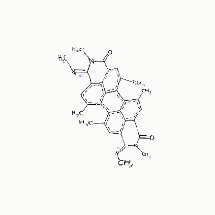 C/N=C1/c2cc(C)c3c4c(C)cc5c6c(cc(C)c(c7c(C)cc(c2c73)C(=O)N1C)c64)C(=O)N(C)/C5=N\C